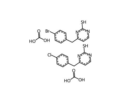 O=C(O)O.O=C(O)O.Sc1nccc(Cc2ccc(Br)cc2)n1.Sc1nccc(Cc2ccc(Cl)cc2)n1